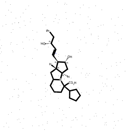 CC(C)C[C@@H](O)/C=C/[C@@H]1[C@H]2CC3CCCC(C(=O)O)(C4CCCC4)N3[C@@H]2C[C@H]1O